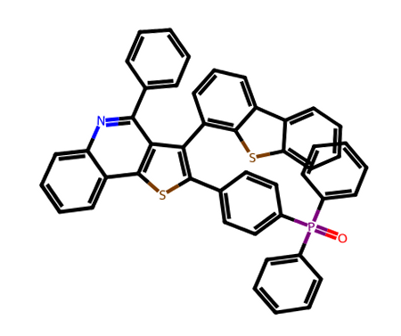 O=P(c1ccccc1)(c1ccccc1)c1ccc(-c2sc3c(c(-c4ccccc4)nc4ccccc43)c2-c2cccc3c2sc2ccccc23)cc1